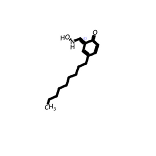 CCCCCCCCCC1=C/C(=C\NO)C(=O)C=C1